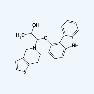 CC(O)C(Oc1cccc2[nH]c3ccccc3c12)N1CCc2sccc2C1